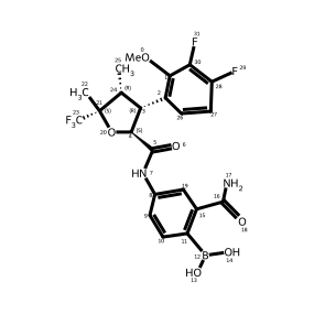 COc1c([C@@H]2[C@@H](C(=O)Nc3ccc(B(O)O)c(C(N)=O)c3)O[C@](C)(C(F)(F)F)[C@@H]2C)ccc(F)c1F